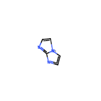 C1=C[N+]2C=CN=C2N=1